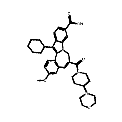 COc1ccc2c(c1)C=C(C(=O)N1CCC(N3CCOCC3)CC1)Cn1c-2c(C2CCCCC2)c2ccc(C(=O)O)cc21